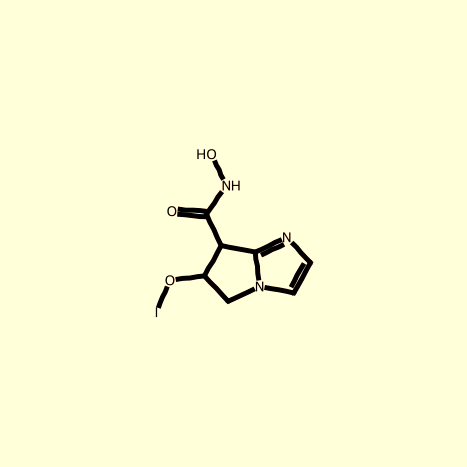 O=C(NO)C1c2nccn2CC1OI